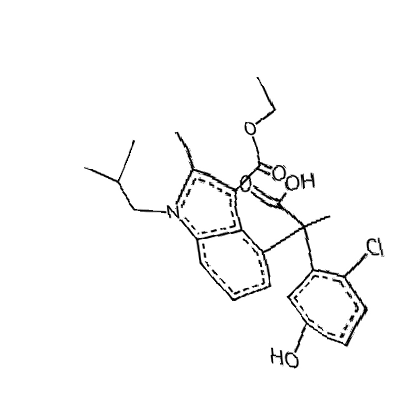 CCOC(=O)c1c(C)n(CC(C)C)c2cccc(C(C)(C(=O)O)c3cc(O)ccc3Cl)c12